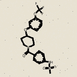 CS(=O)(=O)Nc1ccc(C(=O)N2CCC(Oc3cccc(OC(F)(F)F)c3)CC2)cc1